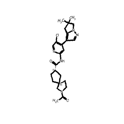 CC(=O)N1CC[C@]2(CC[C@H](C(=O)Nc3cc(-c4cnn5c4CC(C)(C)C5)c(Cl)cn3)C2)C1